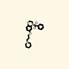 O=S(=O)(c1ccccc1)N1CCSc2ccc(OCCCN3CCCCC3)cc21